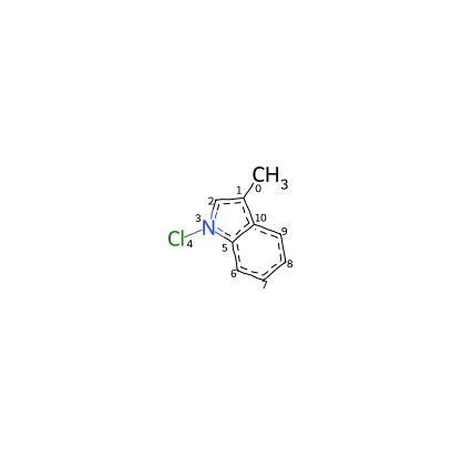 Cc1cn(Cl)c2ccccc12